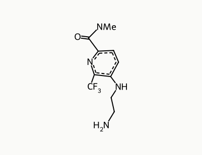 CNC(=O)c1ccc(NCCN)c(C(F)(F)F)n1